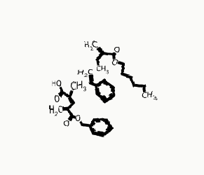 C=C(C=C(C)C(=O)O)C(=O)OCc1ccccc1.C=C(CC)C(=O)OCCCCCC.C=Cc1ccccc1